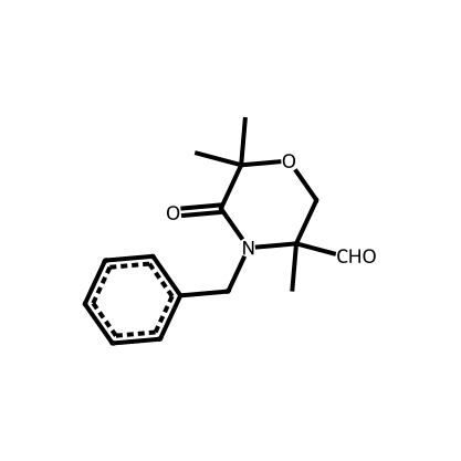 CC1(C)OCC(C)(C=O)N(Cc2ccccc2)C1=O